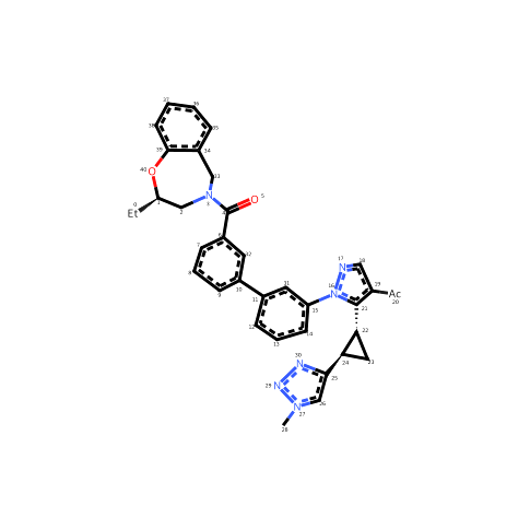 CC[C@@H]1CN(C(=O)c2cccc(-c3cccc(-n4ncc(C(C)=O)c4[C@@H]4C[C@H]4c4cn(C)nn4)c3)c2)Cc2ccccc2O1